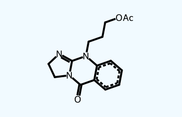 CC(=O)OCCCN1C2=NCCN2C(=O)c2ccccc21